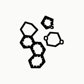 C1COCCO1.c1ccc2c(c1)ccc1c3c(ccc12)CCCC3.c1ccsc1